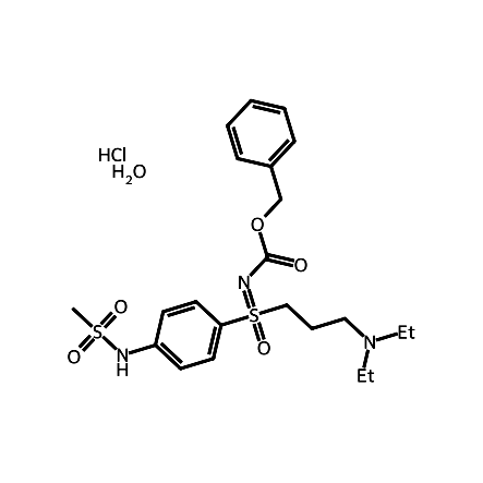 CCN(CC)CCCS(=O)(=NC(=O)OCc1ccccc1)c1ccc(NS(C)(=O)=O)cc1.Cl.O